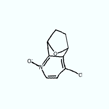 [O-][n+]1ccc(Cl)c2c1C1CCC2O1